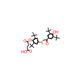 CC(C)(C)c1cc(C(=O)CSc2cc(C(C)(C)C)c(OC(=O)CCC(=O)O)c(C(C)(C)C)c2)cc(C(C)(C)C)c1O